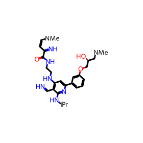 CN/C=C\C(=N)C(=O)NCCNc1cc(-c2cccc(OC[C@@H](O)CNC)c2)nc(NC(C)C)c1C=N